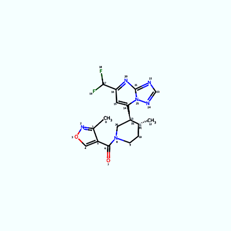 Cc1nocc1C(=O)N1CC[C@@H](C)[C@H](c2cc(C(F)F)nc3ncnn23)C1